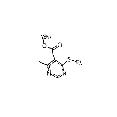 CCSc1ncnc(C)c1C(=O)OC(C)(C)C